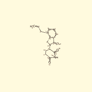 C=CCc1cccc2c1CN(C1CCC(=O)NC1=O)C2=O